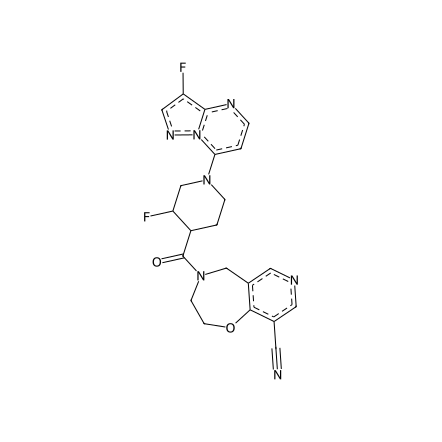 N#Cc1cncc2c1OCCN(C(=O)C1CCN(c3ccnc4c(F)cnn34)CC1F)C2